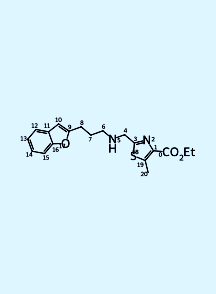 CCOC(=O)c1nc(CNCCCc2cc3ccccc3o2)sc1C